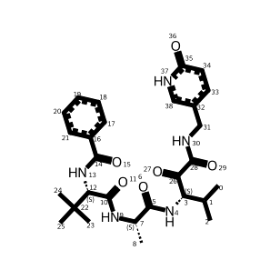 CC(C)[C@H](NC(=O)[C@H](C)NC(=O)[C@@H](NC(=O)c1ccccc1)C(C)(C)C)C(=O)C(=O)NCc1ccc(=O)[nH]c1